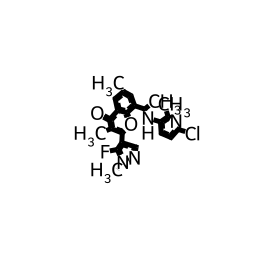 Cc1cc(C(C)Nc2ccc(Cl)nc2C)c2oc(-c3cnn(C)c3F)c(C)c(=O)c2c1